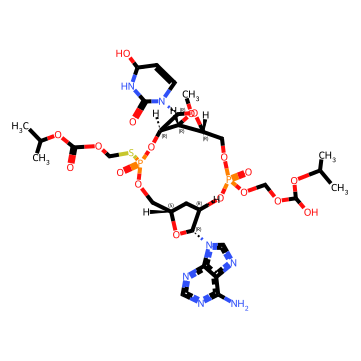 CO[C@H]1[C@H]2OP(=O)(SCOC(=O)OC(C)C)OC[C@@H]3C[C@@H](OP(=O)(OCOC(O)OC(C)C)OC[C@H]1O[C@H]2N1C=CC(O)NC1=O)[C@H](n1cnc2c(N)ncnc21)O3